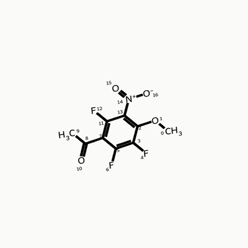 COc1c(F)c(F)c(C(C)=O)c(F)c1[N+](=O)[O-]